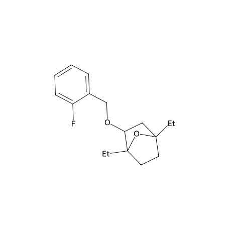 CCC12CCC(CC)(O1)C(OCc1ccccc1F)C2